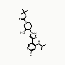 CC(C)Nc1cc(Cl)ncc1-c1cn(C2CCN(C(=O)OC(C)(C)C)CC2O)nn1